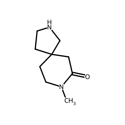 CN1CCC2(CCNC2)CC1=O